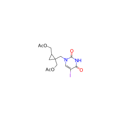 CC(=O)OCC1CC1(COC(C)=O)Cn1cc(I)c(=O)[nH]c1=O